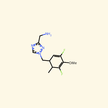 COC1=C(F)C(C)C(Cn2cnc(CN)n2)C=C1F